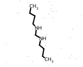 CCCCN[CH]NCCCC